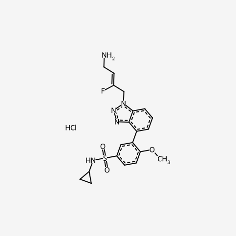 COc1ccc(S(=O)(=O)NC2CC2)cc1-c1cccc2c1nnn2C/C(F)=C/CN.Cl